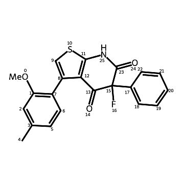 COc1cc(C)ccc1-c1csc2c1C(=O)C(F)(c1ccccc1)C(=O)N2